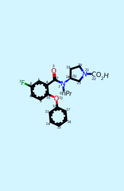 CCCN(C(=O)c1cc(F)ccc1Oc1ccccc1)[C@H]1CCN(C(=O)O)C1